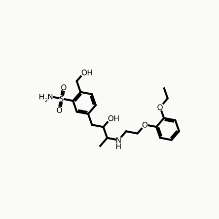 CCOc1ccccc1OCCNC(C)C(O)Cc1ccc(CO)c(S(N)(=O)=O)c1